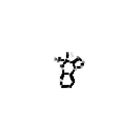 CC1(C)Oc2ccccc2-n2nnnc21